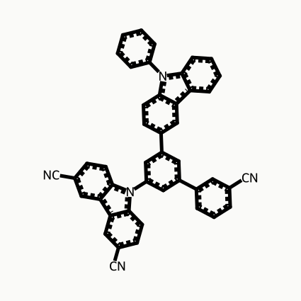 N#Cc1cccc(-c2cc(-c3ccc4c(c3)c3ccccc3n4-c3ccccc3)cc(-n3c4ccc(C#N)cc4c4cc(C#N)ccc43)c2)c1